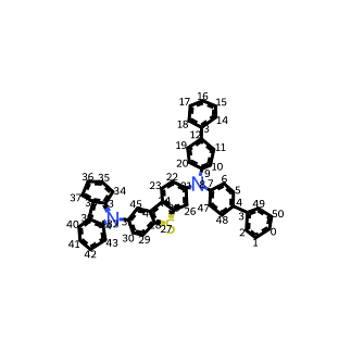 c1ccc(-c2ccc(N(c3ccc(-c4ccccc4)cc3)c3ccc4c(c3)sc3ccc(-n5c6ccccc6c6ccccc65)cc34)cc2)cc1